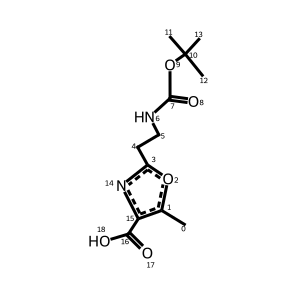 Cc1oc(CCNC(=O)OC(C)(C)C)nc1C(=O)O